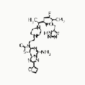 C=C(OCc1nnn[nH]1)/C(F)=C\C(F)=C(/C)N1CCN(CCn2c(=O)sc3c2nc(N)n2nc(-c4ccco4)nc32)CC1